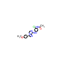 COc1ccc(-c2cnc3c(Nc4ccc(NC(C)=O)c(Cl)c4)nccn23)cc1